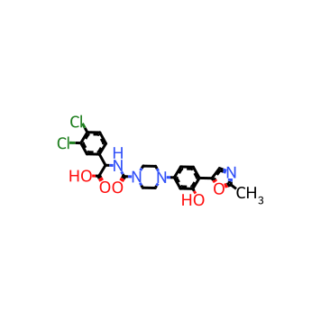 Cc1ncc(-c2ccc(N3CCN(C(=O)NC(C(=O)O)c4ccc(Cl)c(Cl)c4)CC3)cc2O)o1